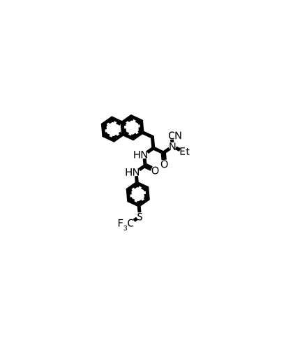 CCN(C#N)C(=O)C(Cc1ccc2ccccc2c1)NC(=O)Nc1ccc(SC(F)(F)F)cc1